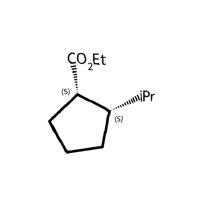 CCOC(=O)[C@H]1CCC[C@H]1C(C)C